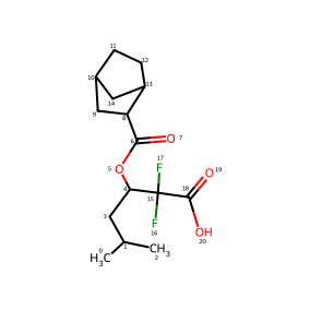 CC(C)CC(OC(=O)C1CC2CCC1C2)C(F)(F)C(=O)O